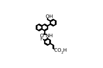 O=C(O)C=Cc1ccc(F)c(NC(=O)c2cc(-c3ccccc3CO)cc3ccccc23)c1